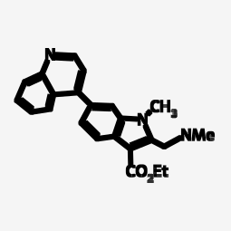 CCOC(=O)c1c(CNC)n(C)c2cc(-c3ccnc4ccccc34)ccc12